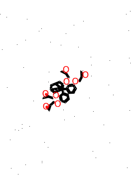 c1cc(OCC2CO2)c(OCC2CO2)c(C2(c3cccc(OCC4CO4)c3OCC3CO3)C3CC4CC(C3)CC2C4)c1